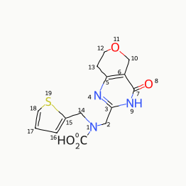 O=C(O)N(Cc1nc2c(c(=O)[nH]1)COCC2)Cc1cccs1